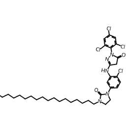 CCCCCCCCCCCCCCCCCCN1CCN(c2ccc(Cl)c(NC3=NN(c4c(Cl)cc(Cl)cc4Cl)C(=O)C3)c2)C1=O